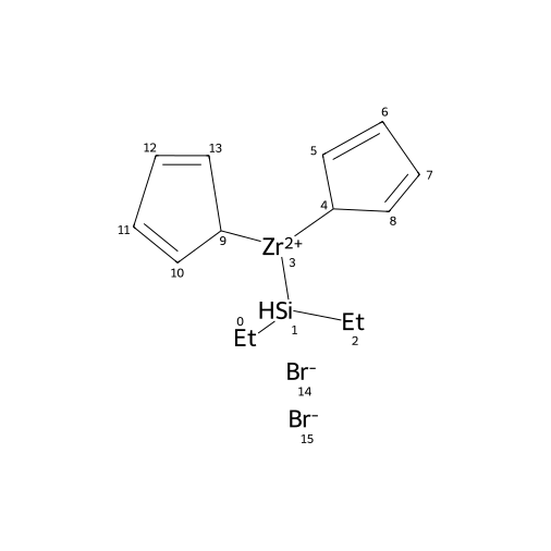 CC[SiH](CC)[Zr+2]([CH]1C=CC=C1)[CH]1C=CC=C1.[Br-].[Br-]